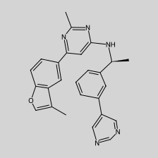 Cc1nc(N[C@@H](C)c2cccc(-c3cncnc3)c2)cc(-c2ccc3occ(C)c3c2)n1